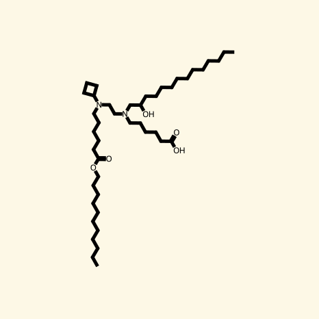 CCCCCCCCCCCCC(O)CN(CCCCCC(=O)O)CCN(CCCCCC(=O)OCCCCCCCCCCC)C1CCC1